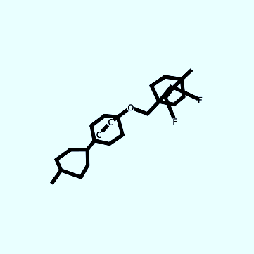 CC1CCC(C23CCC(OCC45CCC(C)(CC4)C(F)=C5F)(CC2)CC3)CC1